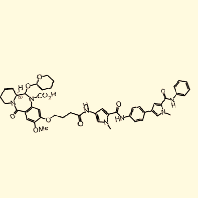 COc1cc2c(cc1OCCCC(=O)Nc1cc(C(=O)Nc3ccc(-c4cc(C(=O)Nc5ccccc5)n(C)c4)cc3)n(C)c1)N(C(=O)O)C(OC1CCCCO1)[C@@H]1CCCCN1C2=O